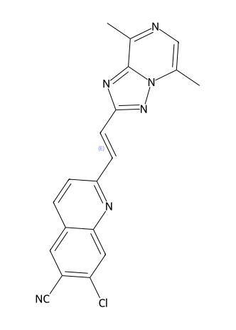 Cc1ncc(C)n2nc(/C=C/c3ccc4cc(C#N)c(Cl)cc4n3)nc12